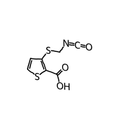 O=C=NCSc1ccsc1C(=O)O